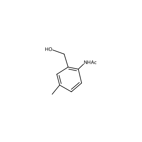 CC(=O)Nc1ccc(C)cc1CO